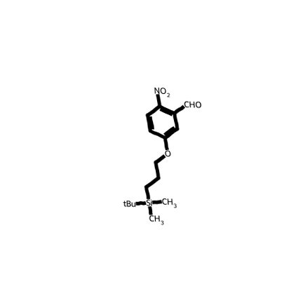 CC(C)(C)[Si](C)(C)CCCOc1ccc([N+](=O)[O-])c(C=O)c1